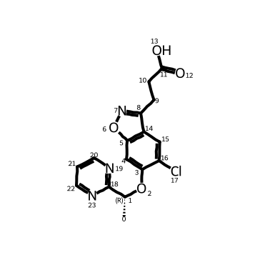 C[C@@H](Oc1cc2onc(CCC(=O)O)c2cc1Cl)c1ncccn1